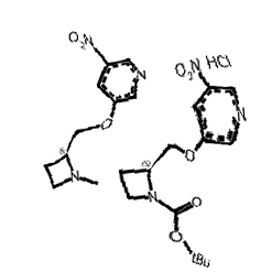 CC(C)(C)OC(=O)N1CC[C@H]1COc1cncc([N+](=O)[O-])c1.CN1CC[C@H]1COc1cncc([N+](=O)[O-])c1.Cl